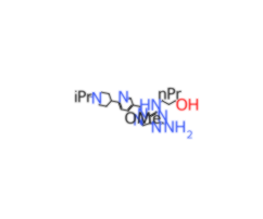 CCCC(CCO)Nc1nc(N)nc2cnn(Cc3cnc(C4CCN(C(C)C)CC4)cc3OC)c12